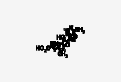 C[S+](CC[C@H](N)C(=O)O)C[C@H]1O[C@@H](n2nnc3c(N)ncnc32)[C@H](O)[C@@H]1O